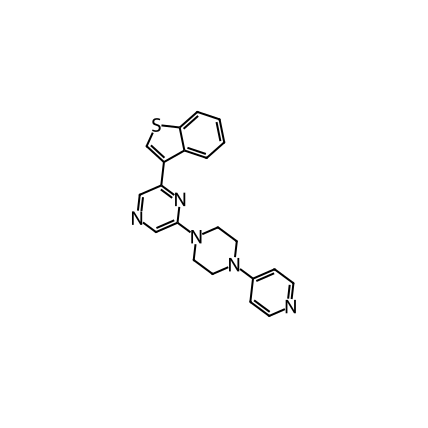 c1ccc2c(-c3cncc(N4CCN(c5ccncc5)CC4)n3)csc2c1